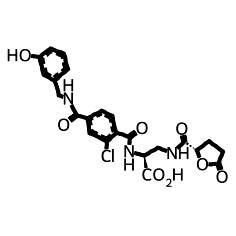 O=C1CC[C@@H](C(=O)NC[C@H](NC(=O)c2ccc(C(=O)NCc3cccc(O)c3)cc2Cl)C(=O)O)O1